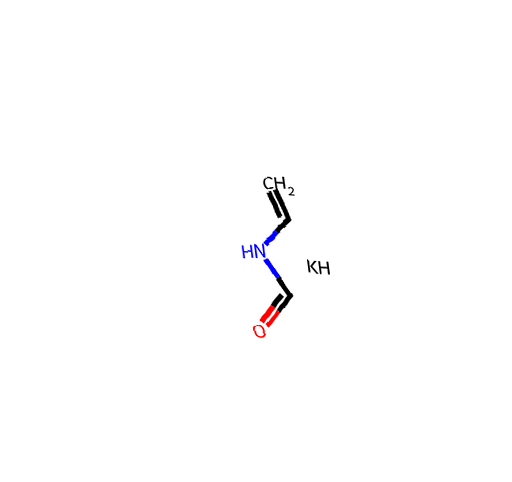 C=CNC=O.[KH]